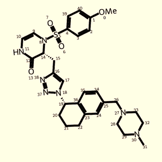 COc1ccc(S(=O)(=O)N2C=CNC(=O)[C@H]2Cc2cn([C@H]3CCCc4cc(CN5CCN(C)CC5)ccc43)nn2)cc1